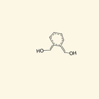 OC=c1ccccc1=CO